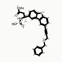 COC(=O)C[C@](C)(N[S@+]([O-])C(C)(C)C)c1ccc2sc3ccc(C#CCOCc4ccccc4)cc3c2c1